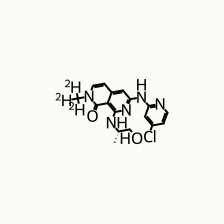 [2H]C([2H])([2H])n1ccc2cc(Nc3cc(Cl)ccn3)nc(N[C@@H](C)CO)c2c1=O